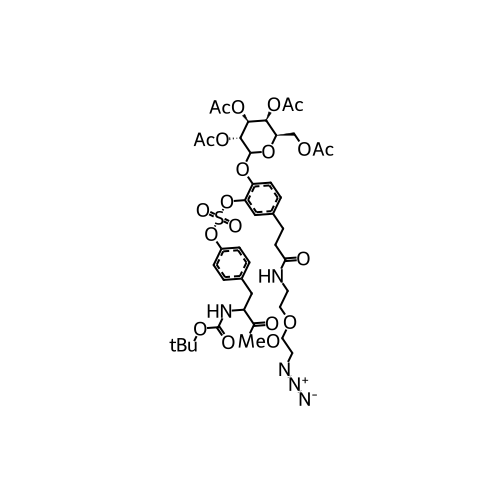 COC(=O)C(Cc1ccc(OS(=O)(=O)Oc2cc(CCC(=O)NCCOCCN=[N+]=[N-])ccc2OC2O[C@H](COC(C)=O)[C@H](OC(C)=O)[C@H](OC(C)=O)[C@H]2OC(C)=O)cc1)NC(=O)OC(C)(C)C